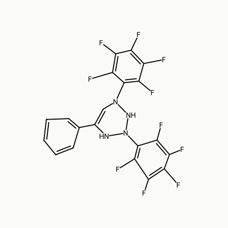 Fc1c(F)c(F)c(-n2cc(-c3ccccc3)[nH]n(-c3c(F)c(F)c(F)c(F)c3F)[nH]2)c(F)c1F